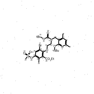 CCCCOc1nc(C)cc(C)c1CN(CCOc1c(Br)cc(OS(C)(=O)=O)c(C)c1C(=O)OCC)C(=O)OC(C)(C)C